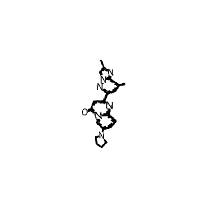 Cc1cn2nc(-c3cc(=O)n4cc(N5CCCC5)ccc4n3)cc(C)c2n1